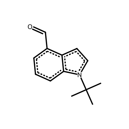 CC(C)(C)n1ccc2c(C=O)cccc21